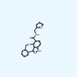 O=C(NCc1ccco1)c1ccc2[nH]nc3c2c1CCc1ccccc1-3